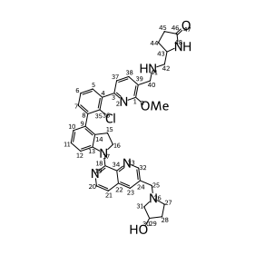 COc1nc(-c2cccc(-c3cccc4c3CCN4c3nccc4cc(CN5CCC(O)C5)cnc34)c2Cl)ccc1CNCC1CCC(=O)N1